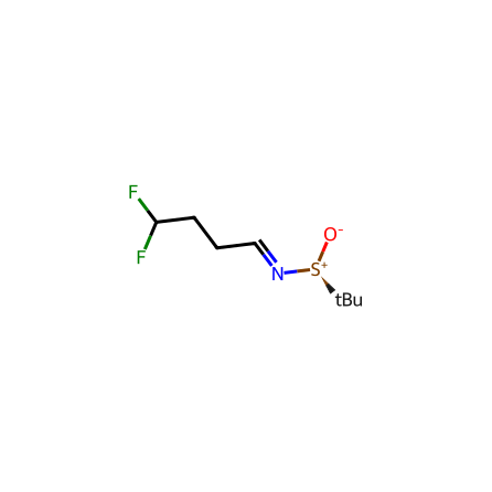 CC(C)(C)[S@+]([O-])/N=C/CCC(F)F